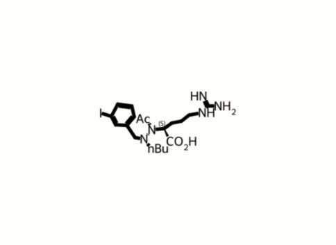 CCCCN(Cc1cccc(I)c1)N(C(C)=O)[C@@H](CCCNC(=N)N)C(=O)O